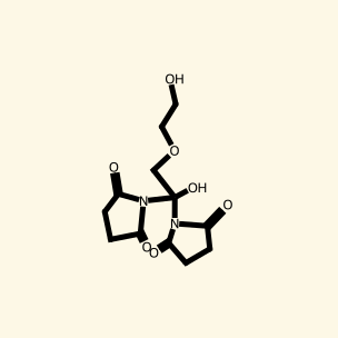 O=C1CCC(=O)N1C(O)(COCCO)N1C(=O)CCC1=O